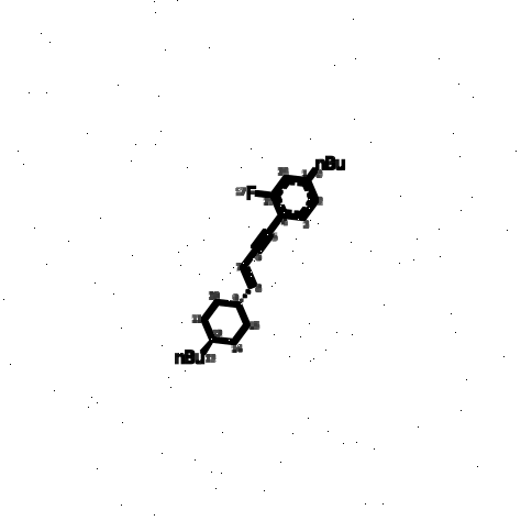 CCCCc1ccc(C#C/C=C/[C@H]2CC[C@H](CCCC)CC2)c(F)c1